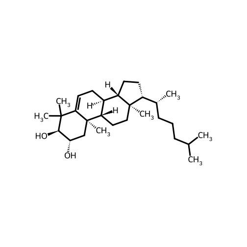 CC(C)CCC[C@@H](C)[C@H]1CC[C@H]2[C@@H]3CC=C4C(C)(C)[C@H](O)[C@@H](O)C[C@]4(C)[C@H]3CC[C@]12C